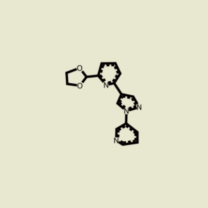 c1cncc(-n2cc(-c3cccc(C4OCCO4)n3)cn2)c1